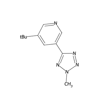 Cn1nnc(-c2cncc(C(C)(C)C)c2)n1